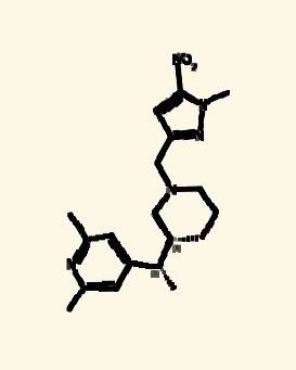 Cc1cc([C@@H](C)[C@H]2CCCN(Cc3cc([N+](=O)[O-])n(C)n3)C2)cc(C)n1